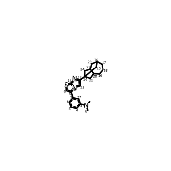 CN(C)c1cccc(-c2csc3nc(C45CC6CCCC(C4)C(C6)C5)cn23)c1